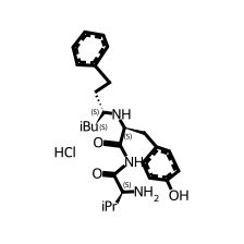 CC[C@H](C)[C@H](CCc1ccccc1)N[C@@H](Cc1ccc(O)cc1)C(=O)NC(=O)[C@@H](N)C(C)C.Cl